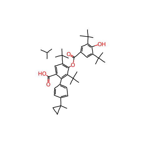 CC(C)(C)c1cc(C(=O)Oc2c(C(C)(C)C)cc(C(=O)O)c(-c3ccc(C4(C)CC4)cc3)c2C(C)(C)C)cc(C(C)(C)C)c1O.C[C](C)C